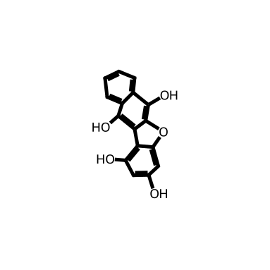 Oc1cc(O)c2c(c1)oc1c(O)c3ccccc3c(O)c12